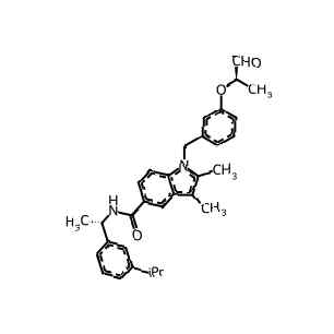 Cc1c(C)n(Cc2cccc(O[C@H](C)C=O)c2)c2ccc(C(=O)N[C@@H](C)c3cccc(C(C)C)c3)cc12